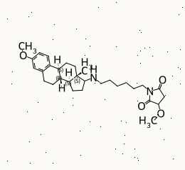 COc1ccc2c(c1)CC[C@@H]1[C@@H]2CC[C@]2(C)C(NCCCCCCN3C(=O)CC(OC)C3=O)CC[C@@H]12